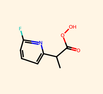 CC(C(=O)OO)c1cccc(F)n1